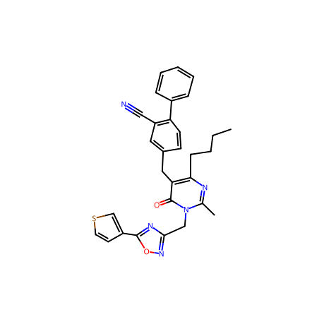 CCCCc1nc(C)n(Cc2noc(-c3ccsc3)n2)c(=O)c1Cc1ccc(-c2ccccc2)c(C#N)c1